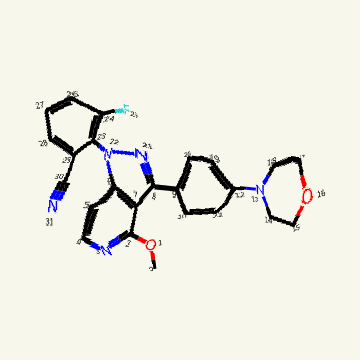 COc1nccc2c1c(-c1ccc(N3CCOCC3)cc1)nn2-c1c(F)cccc1C#N